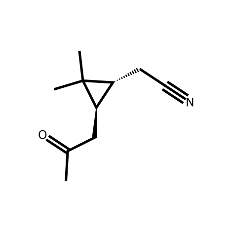 CC(=O)C[C@@H]1[C@@H](CC#N)C1(C)C